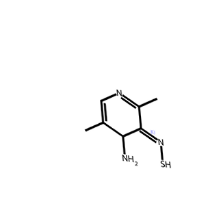 CC1=CN=C(C)/C(=N/S)C1N